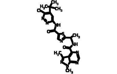 Cc1nn(C)c2ncnc(C(=O)NC(C)c3ncc(C(=O)Nc4cc(C(C)(C)C)c(Cl)nn4)s3)c12